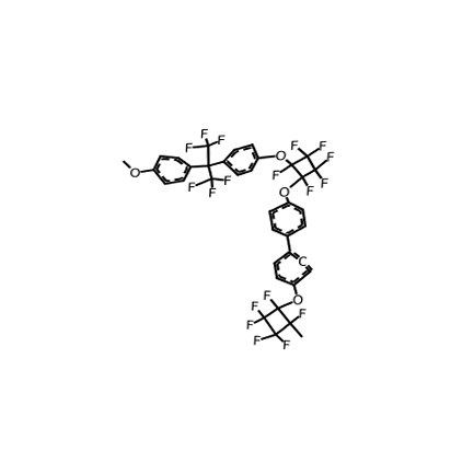 COc1ccc(C(c2ccc(OC3(F)C(F)(F)C(F)(F)C3(F)Oc3ccc(-c4ccc(OC5(F)C(C)(F)C(F)(F)C5(F)F)cc4)cc3)cc2)(C(F)(F)F)C(F)(F)F)cc1